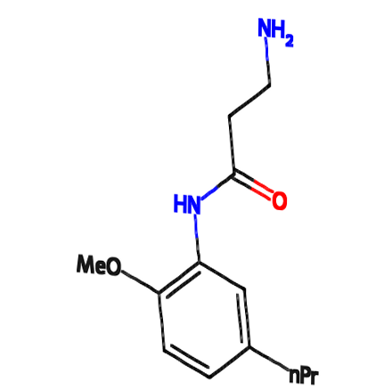 CCCc1ccc(OC)c(NC(=O)CCN)c1